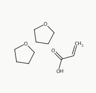 C1CCOC1.C1CCOC1.C=CC(=O)O